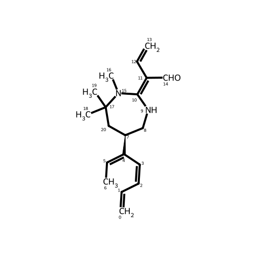 C=C/C=C\C(=C/C)[C@@H]1CN/C(=C(/C=C)C=O)N(C)C(C)(C)C1